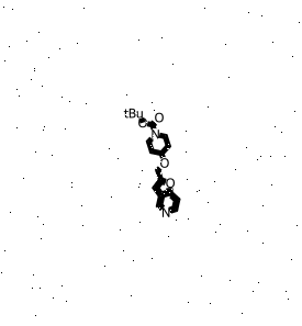 CC(C)(C)OC(=O)N1CCC(OCc2cc3cnccc3o2)CC1